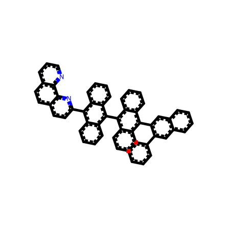 c1ccc(-c2cc3ccccc3cc2-c2c3ccccc3c(-c3c4ccccc4c(-c4ccc5ccc6cccnc6c5n4)c4ccccc34)c3ccccc23)cc1